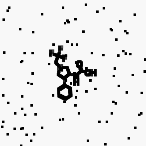 O=C(O)N[C@H]1CN(CC(F)(F)F)C[C@@H]1c1ccccc1